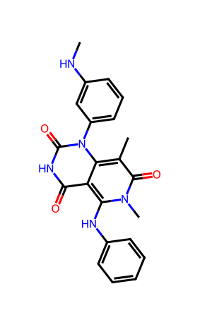 CNc1cccc(-n2c(=O)[nH]c(=O)c3c(Nc4ccccc4)n(C)c(=O)c(C)c32)c1